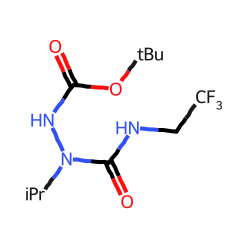 CC(C)N(NC(=O)OC(C)(C)C)C(=O)NCC(F)(F)F